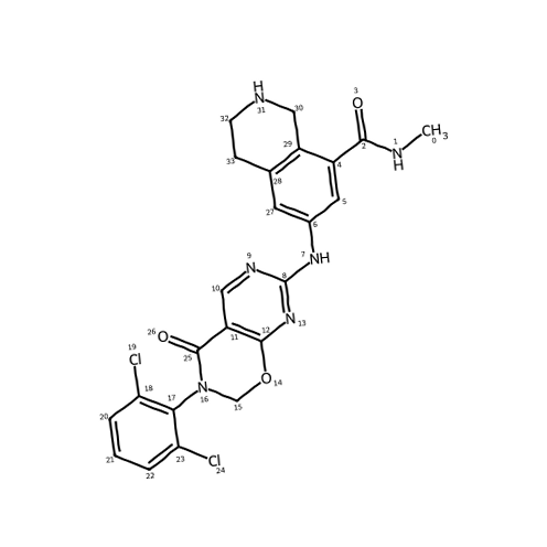 CNC(=O)c1cc(Nc2ncc3c(n2)OCN(c2c(Cl)cccc2Cl)C3=O)cc2c1CNCC2